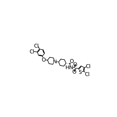 O=C(NS(=O)(=O)c1cc(Cl)c(Cl)s1)[C@H]1CC[C@H](N2CCC(Oc3ccc(Cl)c(Cl)c3)CC2)CC1